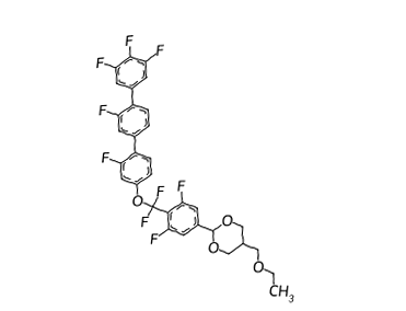 CCOCC1COC(c2cc(F)c(C(F)(F)Oc3ccc(-c4ccc(-c5cc(F)c(F)c(F)c5)c(F)c4)c(F)c3)c(F)c2)OC1